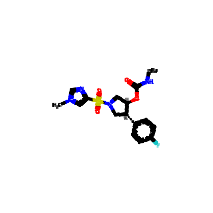 CCCCNC(=O)O[C@@H]1CN(S(=O)(=O)c2cn(C)cn2)C[C@H]1c1ccc(F)cc1